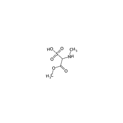 CNC(C(=O)OC)S(=O)(=O)O